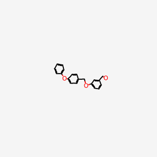 O=Cc1cccc(OCc2ccc(Oc3ccccc3)cc2)c1